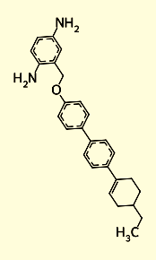 CCC1CC=C(c2ccc(-c3ccc(OCc4cc(N)ccc4N)cc3)cc2)CC1